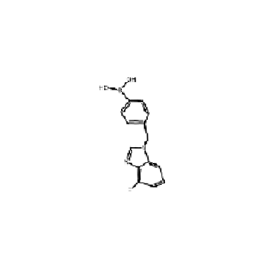 OB(O)c1ccc(Cn2cnc3c(F)cccc32)cc1